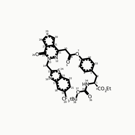 CCOC(=O)[C@H](Cc1ccc(OC(=O)Cc2nn(Cc3nc4cc(C(F)(F)F)ccc4s3)c(=O)c3cscc23)cc1)NC(=O)OC(C)(C)C